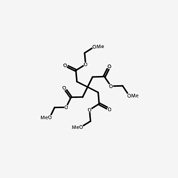 COCOC(=O)CC(CC(=O)OCOC)(CC(=O)OCOC)CC(=O)OCOC